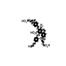 Nc1c(N=Nc2ccc(SOOO)cc2)c(C(=O)O)c(N=Nc2ccc(S(=O)(=O)CCOS(=O)(=O)O)cc2)c(N)c1/N=N\c1ccc(S(=O)(=O)CCOS(=O)(=O)O)cc1